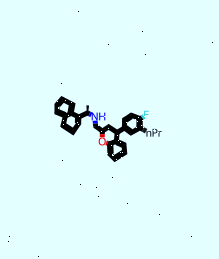 CCCc1cc(C2CC(CN[C@H](C)c3cccc4ccccc34)Oc3ccccc32)ccc1F